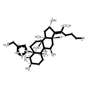 CC(=O)O[C@H]1C[C@@]2(C)[C@@H](C[C@@H](O)[C@@H]3[C@]2(N)CC[C@@]2(n4cc(CN)nn4)[C@H](C)[C@H](O)CC[C@]32C)/C1=C(\CCCC(C)C)C(=O)O